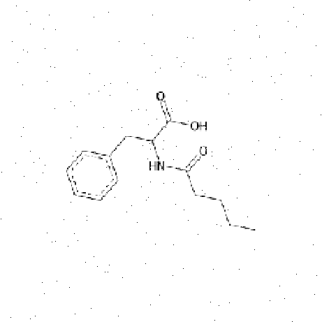 CCCCC(=O)NC(Cc1ccccc1)C(=O)O